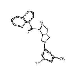 Cc1cc(C)nc(N2CC3CNC(C(=O)c4cccc5cccnc45)C3C2)n1